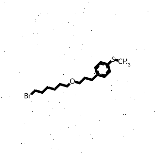 CSc1ccc(CCCOCCCCCCBr)cc1